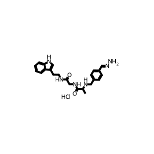 CC(NCc1ccc(C=NN)cc1)C(=O)NCC(=O)NCCc1c[nH]c2ccccc12.Cl